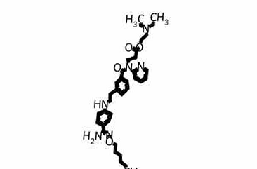 CCCCCCON=C(N)c1ccc(NCCc2cccc(C(=O)N(CCC(=O)OCCN(CC)CC)c3ccccn3)c2)cc1